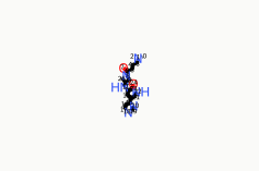 CN(C)CC=CC(=O)N1CC(Nc2cc(-c3ccncn3)c[nH]c2=O)C1